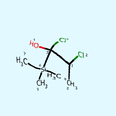 CC(Cl)C(O)(Cl)[Si](C)(C)C